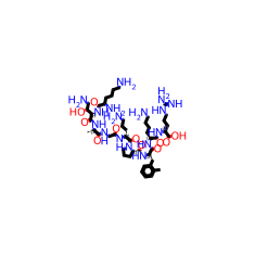 Cc1ccccc1C[C@H](NC(=O)[C@@H]1CCCN1C(=O)[C@@H](CCCN)NC(=O)CNC(=O)[C@H](C)NC(=O)[C@@H](NC(=O)C(N)CCCCN)C(O)CN)C(=O)N[C@@H](CCCCN)C(=O)N/C(=C\CCNC(=N)N)C(=O)O